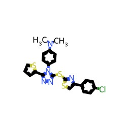 CN(C)c1ccc(-n2c(Sc3nc(-c4ccc(Cl)cc4)cs3)nnc2-c2cccs2)cc1